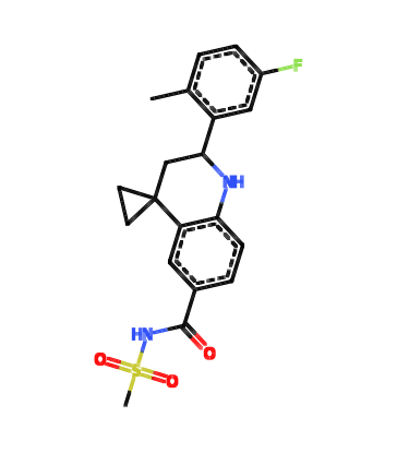 Cc1ccc(F)cc1C1CC2(CC2)c2cc(C(=O)NS(C)(=O)=O)ccc2N1